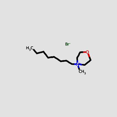 CCCCCCCC[N+]1(C)CCOCC1.[Br-]